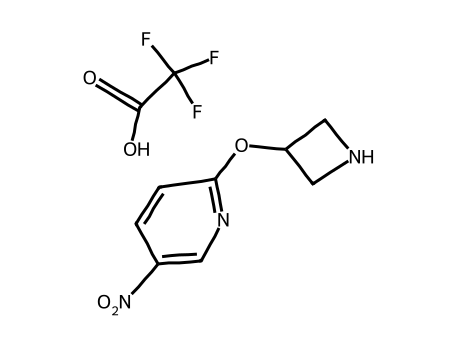 O=C(O)C(F)(F)F.O=[N+]([O-])c1ccc(OC2CNC2)nc1